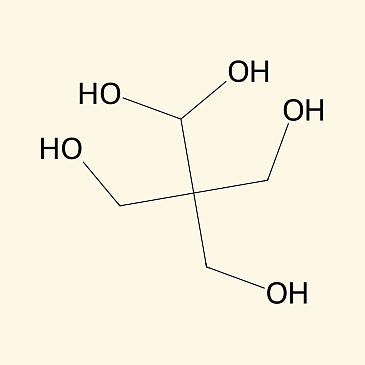 OCC(CO)(CO)C(O)O